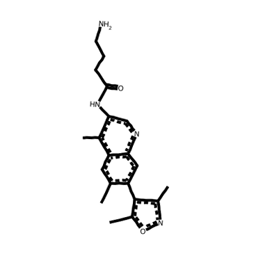 Cc1cc2c(C)c(NC(=O)CCCN)cnc2cc1-c1c(C)noc1C